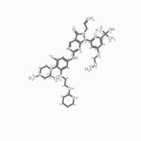 C=CCn1c(=O)c2cnc(Nc3cc(F)c(N4CCN(C)C[C@@H]4C)c(OCCOC4CCCCO4)c3)nc2n1-c1cc(OCOC)cc(C(C)(C)O)n1